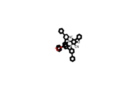 N#Cc1c(-n2c3c#cc(-c4ccccc4)cc3c3cc(-c4ccccc4)ccc32)c(-n2c3c(c4cc(-c5ccccc5)ccc42)C=C(c2ccccc2)CC3)c(C#N)c2c1oc1ccccc12